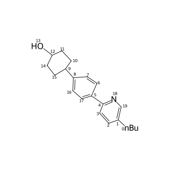 CCCCc1ccc(-c2ccc(C3CCC(O)CC3)cc2)nc1